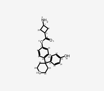 NC1CC(C(=O)Oc2ccc(C3(c4ccc(O)cc4)CCOCC3)cc2)C1